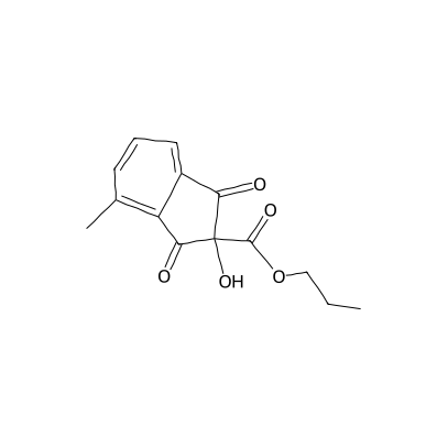 CCCOC(=O)C1(O)C(=O)c2cccc(C)c2C1=O